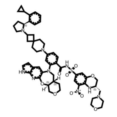 O=C(NS(=O)(=O)c1cc2c(c([N+](=O)[O-])c1)N[C@@H](CN1CCOCC1)CO2)c1ccc(N2CCC3(CC2)CC(N2CCC[C@H]2c2ccccc2C2CC2)C3)cc1N1C[C@@H]2CCOC[C@H]2Oc2nc3[nH]ccc3cc21